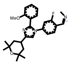 C/N=C\c1ccc(-n2cc(C3CC(C)(C)OC(C)(C)C3)nc2-c2ccccc2OC)cc1F